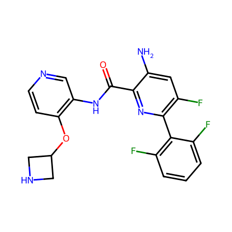 Nc1cc(F)c(-c2c(F)cccc2F)nc1C(=O)Nc1cnccc1OC1CNC1